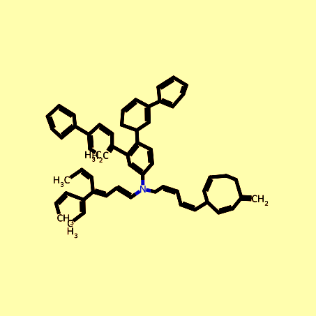 C=C1/C=C\C(/C=C\C=C/CN(/C=C/C=C(\C=C/C)C(/C=C\C)=C/C)c2ccc(C3C=C(c4ccccc4)C=CC3)c(C(=C)/C=C\C(=C/C)c3ccccc3)c2)/C=C\CC1